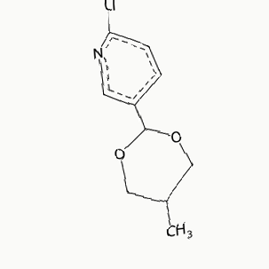 CC1COC(c2ccc(Cl)nc2)OC1